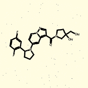 O=C(c1cnn2ccc(N3CCCC3c3cc(F)ccc3F)cc12)N1CCC(O)(CO)C1